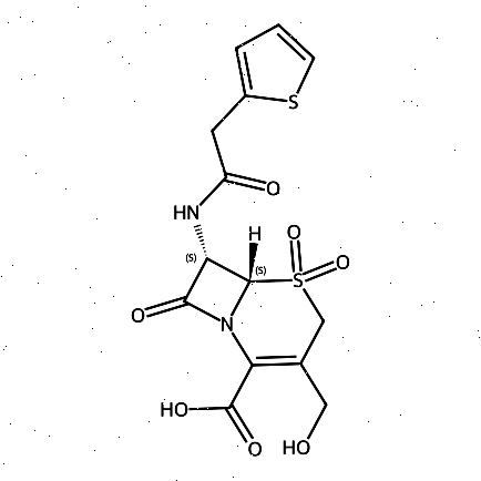 O=C(Cc1cccs1)N[C@H]1C(=O)N2C(C(=O)O)=C(CO)CS(=O)(=O)[C@@H]12